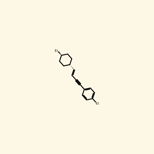 CCc1ccc(C#CC=C[C@H]2CC[C@H](CC)CC2)cc1